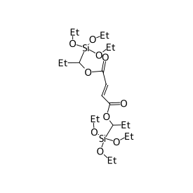 CCO[Si](OCC)(OCC)C(CC)OC(=O)C=CC(=O)OC(CC)[Si](OCC)(OCC)OCC